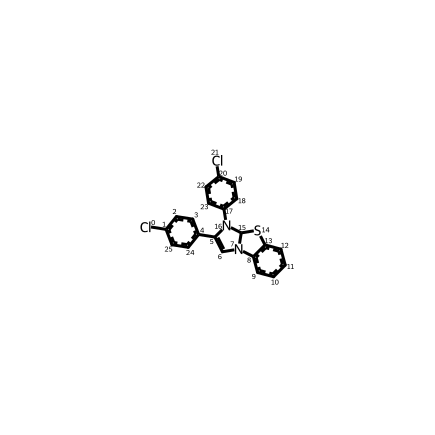 Clc1ccc(C2=CN3c4ccccc4SC3N2c2ccc(Cl)cc2)cc1